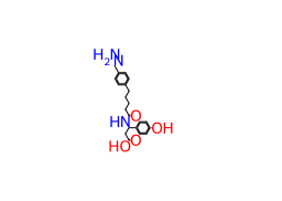 NN=Cc1ccc(CCCCC(=O)NC(CC(=O)O)c2ccc(O)cc2)cc1